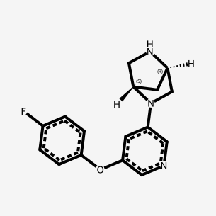 Fc1ccc(Oc2cncc(N3C[C@H]4C[C@H]3CN4)c2)cc1